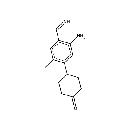 Cc1cc(C=N)c(N)cc1C1CCC(=O)CC1